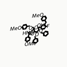 COc1ccc(COCC2(COCc3ccc(OC)cc3)OC(O)(c3ccc(F)c(Cc4ccc(OC)cc4)c3)C(OCc3ccccc3)[C@@H](OCc3ccccc3)[C@@H]2OB=N)cc1